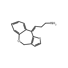 NCCC=C1c2ccccc2OCc2ccsc21